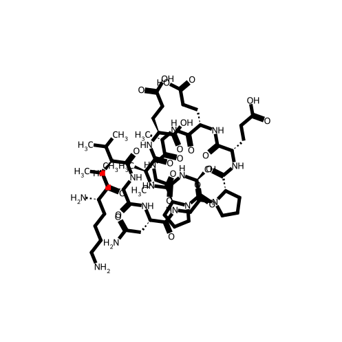 CC(C)C[C@H](NC(=O)[C@@H](NC(=O)[C@@H](N)CCCCN)C(C)C)C(=O)N[C@@H](CC(N)=O)C(=O)NCC(=O)N1CCC[C@H]1C(=O)N[C@@H](CCC(=O)O)C(=O)N[C@@H](CCC(=O)O)C(=O)N[C@@H](C)C(=O)N[C@@H](C)C(=O)N[C@@H](C)C(=O)N1CCC[C@H]1C(=O)N[C@@H](C)C(=O)N[C@@H](CCC(=O)O)C(=O)O